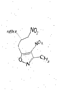 CCCC[C@@H](Cc1onc(C)c1[N+](=O)[O-])C[N+](=O)[O-]